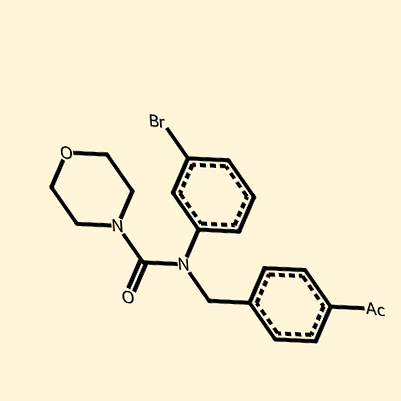 CC(=O)c1ccc(CN(C(=O)N2CCOCC2)c2cccc(Br)c2)cc1